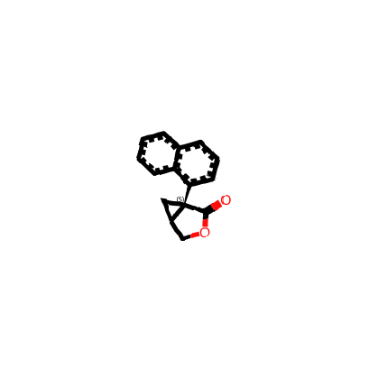 O=C1OCC2C[C@]12c1cccc2ccccc12